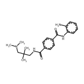 CN(C)CC(C)(C)CNC(=O)c1ccc(C(=O)Nc2ccccc2N)cc1